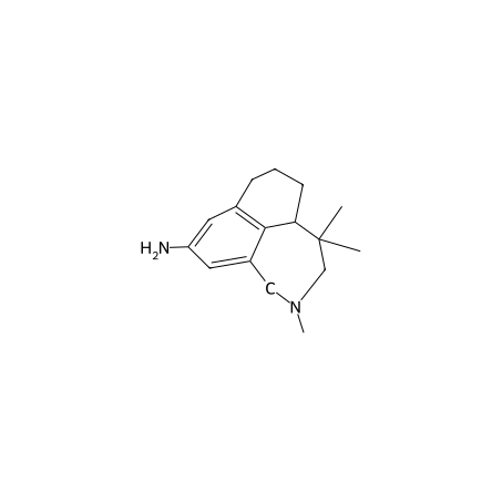 CN1Cc2cc(N)cc3c2C(CCC3)C(C)(C)C1